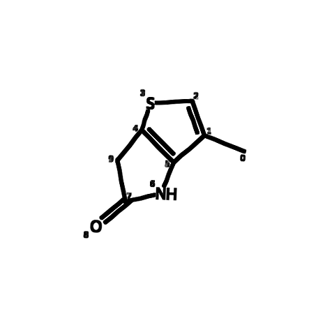 Cc1csc2c1NC(=O)C2